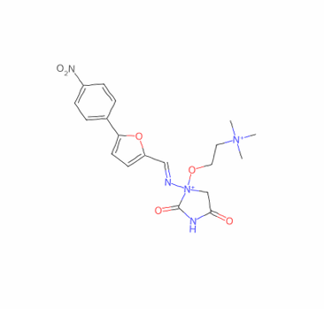 C[N+](C)(C)CCO[N+]1(N=Cc2ccc(-c3ccc([N+](=O)[O-])cc3)o2)CC(=O)NC1=O